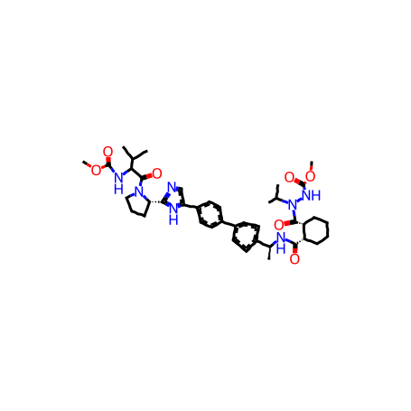 COC(=O)NC(C(=O)N1CCC[C@H]1c1ncc(-c2ccc(-c3ccc([C@H](C)NC(=O)[C@H]4CCCC[C@H]4C(=O)N(NC(=O)OC)C(C)C)cc3)cc2)[nH]1)C(C)C